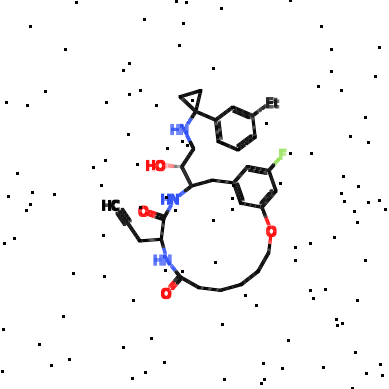 C#CCC1NC(=O)CCCCCOc2cc(F)cc(c2)CC([C@H](O)CNC2(c3cccc(CC)c3)CC2)NC1=O